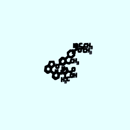 CCc1cc(O[C@H]2CCc3cccc(-c4cccc(-n5ncc(C(=O)O)c5CC)n4)c32)ccc1C1CCN(C(=O)OC(C)(C)C)CC1